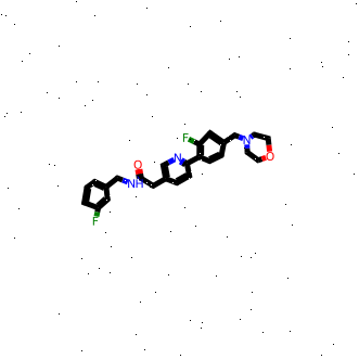 O=C(Cc1ccc(-c2ccc(CN3CCOCC3)cc2F)nc1)NCc1cccc(F)c1